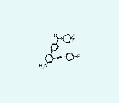 Nc1ccc(-c2ccc(C(=O)N3CCC(F)(F)CC3)cc2)c(C#Cc2ccc(F)cc2)c1